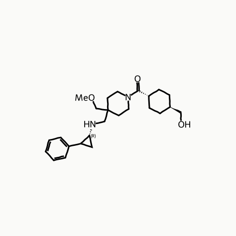 COCC1(CN[C@@H]2CC2c2ccccc2)CCN(C(=O)[C@H]2CC[C@H](CO)CC2)CC1